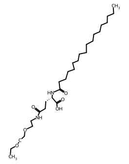 CCCCCCCCCCCCCCCCCC(=O)N[C@@H](CCC(=O)NCCOCCOCC)C(=O)O